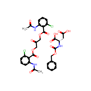 CC(=O)Nc1cccc(Cl)c1C(=O)OCC(=O)COC(=O)c1c(Cl)cccc1NC(C)=O.O=C(O)C[C@H](NC(=O)OCc1ccccc1)C(=O)O